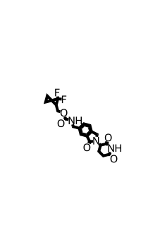 O=C1CCC(N2Cc3ccc(CNC(=O)OCC4C(F)(F)C45CC5)cc3C2=O)C(=O)N1